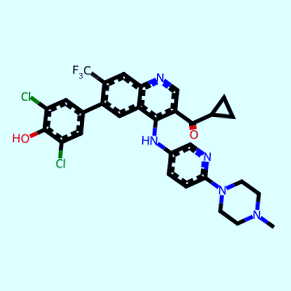 CN1CCN(c2ccc(Nc3c(C(=O)C4CC4)cnc4cc(C(F)(F)F)c(-c5cc(Cl)c(O)c(Cl)c5)cc34)cn2)CC1